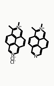 Cc1c2ccc3cncc4ccc(c[n+]1C)c2c43.Cc1c2ccc3cncc4ccc(c[n+]1C)c2c43.[Cl-].[Cl-]